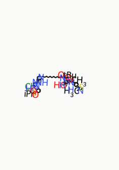 Cc1ncsc1-c1ccc(C(C)NC(=O)[C@@H]2C[C@@H](O)CN2C(=O)C(NC(=O)CCCCCCCCCCN2CCC[C@@H](Nc3ncc(Cl)c(Nc4ccccc4S(=O)(=O)C(C)C)n3)C2)C(C)(C)C)cc1